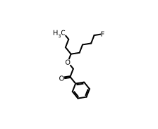 CCCC(CCCCF)OCC(=O)c1ccccc1